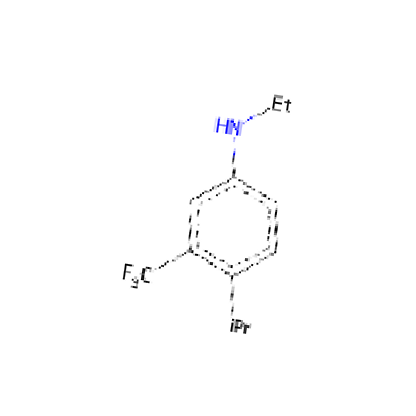 CCNc1ccc(C(C)C)c(C(F)(F)F)c1